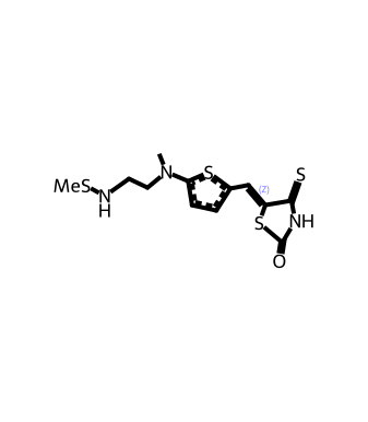 CSNCCN(C)c1ccc(/C=C2\SC(=O)NC2=S)s1